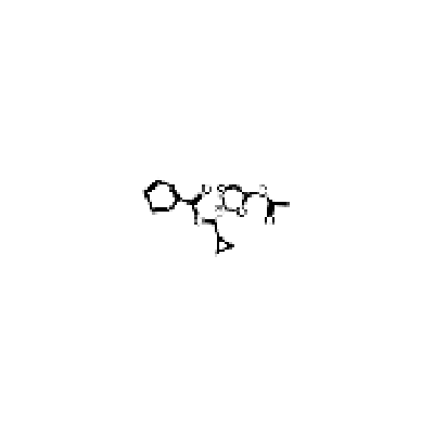 CC(=O)OC1CS[C@@H](C(OC(=O)c2ccccc2)C2CC2)O1